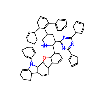 C1=CCC(c2nc(C3C=CC=CC3)nc(C3CC(C4=C(c5ccccc5)C=CCC4C4C=CCCC4)CNC3C3=CC=CC4C3OC3C4C=CC4C5CCCC=C5N(C5=CCCC=C5)C43)n2)=C1